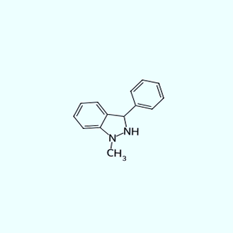 CN1NC(c2ccccc2)c2ccccc21